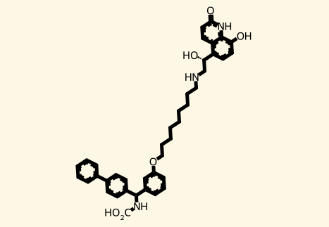 O=C(O)NC(c1ccc(-c2ccccc2)cc1)c1cccc(OCCCCCCCCCNC[C@H](O)c2ccc(O)c3[nH]c(=O)ccc23)c1